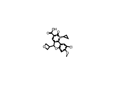 COc1cc2c(cc1Cl)-c1c(cc(C(=O)O)c(=O)n1C1CC1)C(C1COC1)O2